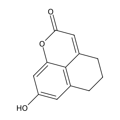 O=c1cc2c3c(cc(O)cc3o1)CCC2